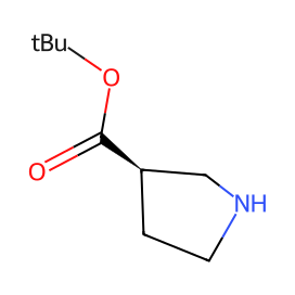 CC(C)(C)OC(=O)[C@@H]1CCNC1